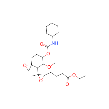 CCOC(=O)CCCC1OC1(C)C1C(OC)C(OC(=O)NC2CCCCC2)CCC12CO2